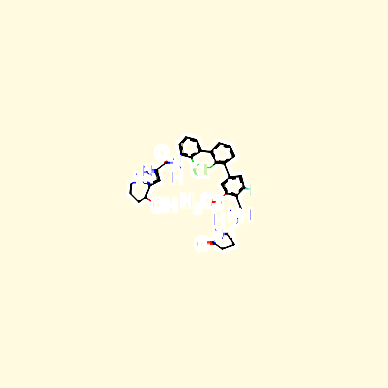 COc1cc(-c2cccc(-c3cccc(NC(=O)c4cc5n(n4)CCCC5O)c3Cl)c2Cl)cc(F)c1CNC[C@@H]1CCC(=O)N1